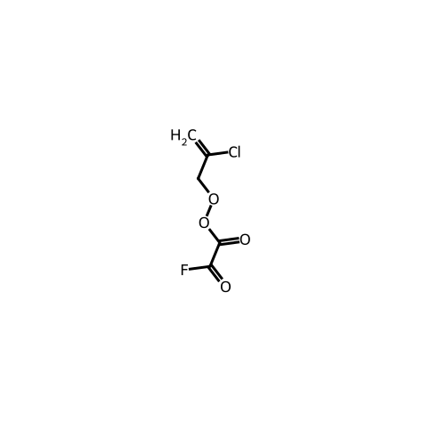 C=C(Cl)COOC(=O)C(=O)F